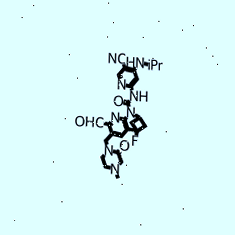 CC(C)Nc1cc(NC(=O)N2c3nc(C=O)c(CN4CCN(C)CC4=O)cc3C3(F)CC2C3)ncc1C#N